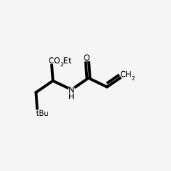 C=CC(=O)NC(CC(C)(C)C)C(=O)OCC